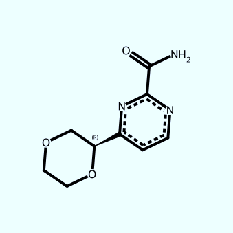 NC(=O)c1nccc([C@@H]2COCCO2)n1